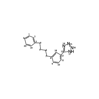 c1ccc(CCCCc2cccc(-c3nnn[nH]3)c2)cc1